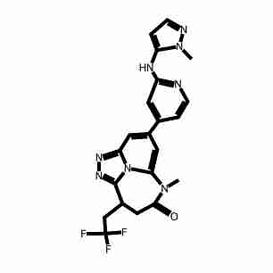 CN1C(=O)CC(CC(F)(F)F)c2nnc3cc(-c4ccnc(Nc5ccnn5C)c4)cc1n23